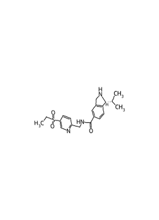 CCS(=O)(=O)c1ccc(CNC(=O)c2ccc3c(c2)CN[C@@H]3C(C)C)nc1